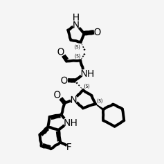 O=C[C@H](C[C@@H]1CCNC1=O)NC(=O)[C@@H]1C[C@@H](C2CCCCC2)CN1C(=O)c1cc2cccc(F)c2[nH]1